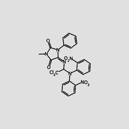 CN1C(=O)C(=NC(N(c2ccccc2[N+](=O)[O-])c2ccccc2[N+](=O)[O-])C(Cl)(Cl)Cl)N(c2ccccc2)C1=O